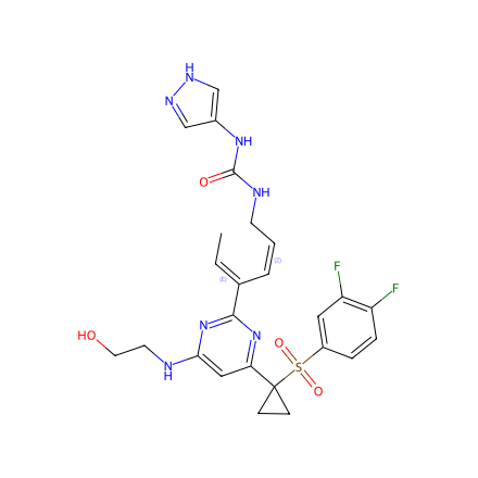 C/C=C(\C=C/CNC(=O)Nc1cn[nH]c1)c1nc(NCCO)cc(C2(S(=O)(=O)c3ccc(F)c(F)c3)CC2)n1